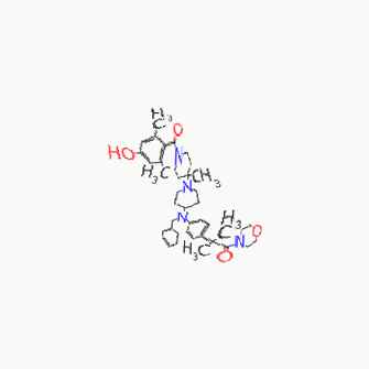 Cc1cc(O)cc(C)c1C(=O)N1CCC(C)(N2CCC(N(Cc3ccccc3)c3ccc(C(C)(C)C(=O)N4CCOCC4)cc3)CC2)CC1